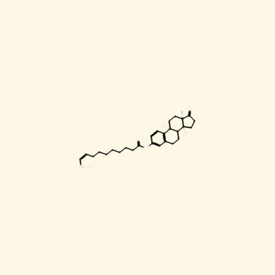 CCCCCCCC/C=C\CCCCCCCC(=O)Oc1ccc2c(c1)CCC1[C@@H]2CC[C@]2(C)C(=O)CC[C@@H]12